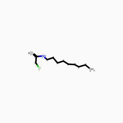 C=C(CCl)NCCCCCCCCC